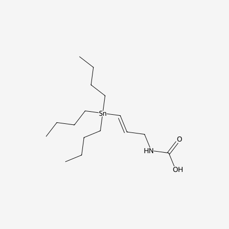 CCC[CH2][Sn](/[CH]=C/CNC(=O)O)([CH2]CCC)[CH2]CCC